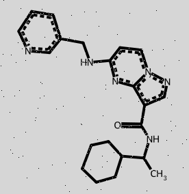 CC(NC(=O)c1cnn2ccc(NCc3cccnc3)nc12)C1CCCCC1